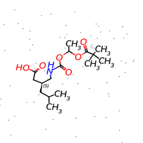 CC(C)C[C@H](CNC(=O)OC(C)OC(=O)C(C)(C)C)CC(=O)O